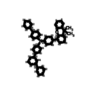 CC1(C)c2ccccc2Oc2c(-c3ccc(N(c4ccc(-c5ccccc5)cc4)c4ccc(-c5cccc(-c6ccccc6)c5)cc4)cc3)cccc21